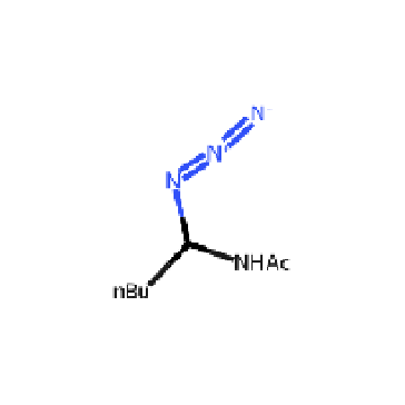 CCCCC(N=[N+]=[N-])NC(C)=O